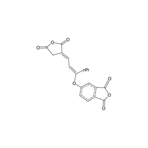 CCC/C(=C\C=C1/CC(=O)OC1=O)Oc1ccc2c(c1)C(=O)OC2=O